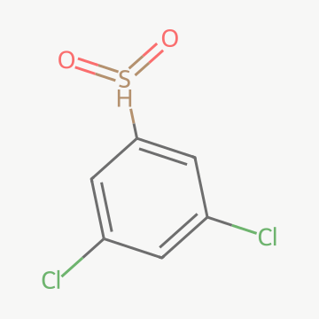 O=[SH](=O)c1cc(Cl)cc(Cl)c1